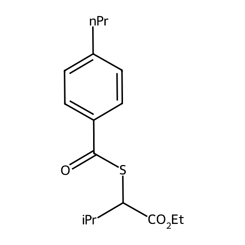 CCCc1ccc(C(=O)SC(C(=O)OCC)C(C)C)cc1